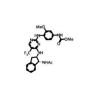 COC(=O)Nc1ccc(Nc2ncc(C(F)(F)F)c(N[C@@H]3Cc4ccccc4[C@H]3NC(C)=O)n2)c(OC)c1